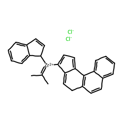 C[C](C)=[Zr+2]([C]1=CC=C2C1=CCc1ccc3ccccc3c12)[CH]1C=Cc2ccccc21.[Cl-].[Cl-]